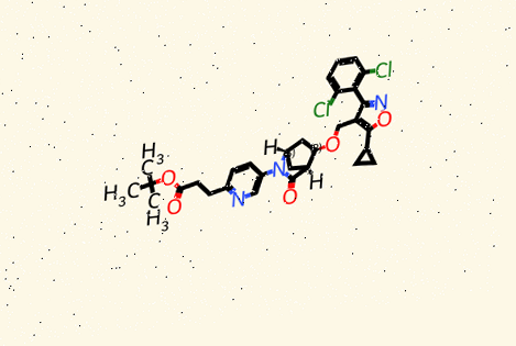 CC(C)(C)OC(=O)CCc1ccc(N2C(=O)[C@@H]3C[C@H]2C[C@H]3OCc2c(-c3c(Cl)cccc3Cl)noc2C2CC2)cn1